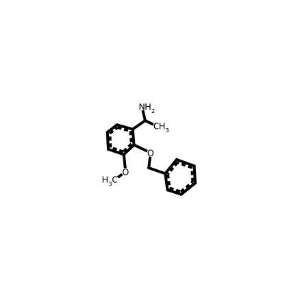 COc1cccc(C(C)N)c1OCc1ccccc1